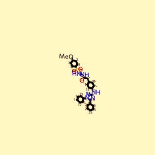 COc1ccc(S(=O)(=O)NNC(=O)Cc2ccc(Nc3nc(-c4ccccc4)n(-c4ccccc4)n3)cc2)cc1